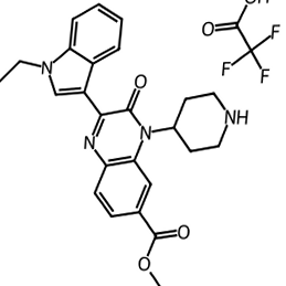 CCn1cc(-c2nc3ccc(C(=O)OC)cc3n(C3CCNCC3)c2=O)c2ccccc21.O=C(O)C(F)(F)F